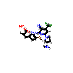 CSc1ccc(CC(C)C(=O)O)cc1Nc1nc(N2CC[C@H](N(C)C)C2)cc(C(F)F)c1C#N